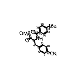 COC(=O)C(Cc1ccc(C#N)cc1)NC(=O)c1ccc(C(C)(C)C)cc1